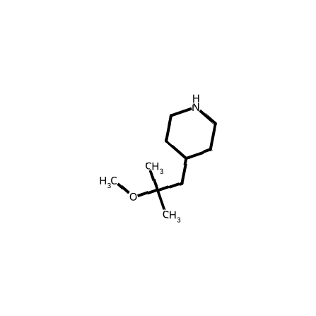 COC(C)(C)C[C]1CCNCC1